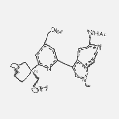 COCc1cc(-c2cn(C)c3cnc(NC(C)=O)cc23)nc([C@]2(CO)CCOC2)c1